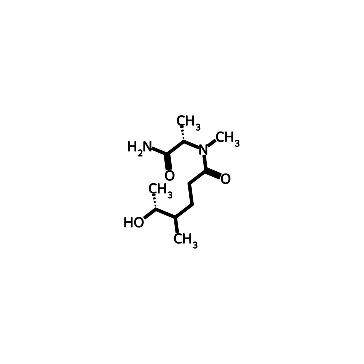 CC(CCC(=O)N(C)[C@@H](C)C(N)=O)[C@@H](C)O